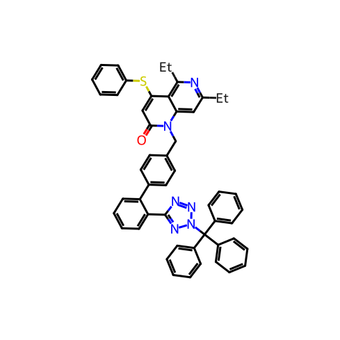 CCc1cc2c(c(Sc3ccccc3)cc(=O)n2Cc2ccc(-c3ccccc3-c3nnn(C(c4ccccc4)(c4ccccc4)c4ccccc4)n3)cc2)c(CC)n1